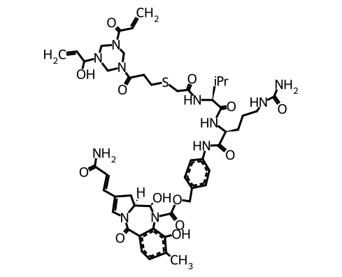 C=CC(=O)N1CN(C(=O)CCSCC(=O)N[C@H](C(=O)N[C@@H](CCCNC(N)=O)C(=O)Nc2ccc(COC(=O)N3c4c(ccc(C)c4O)C(=O)N4C=C(/C=C/C(N)=O)C[C@H]4[C@@H]3O)cc2)C(C)C)CN(C(O)C=C)C1